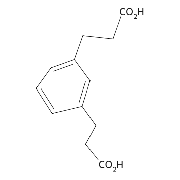 O=C(O)CCc1cccc(CCC(=O)O)c1